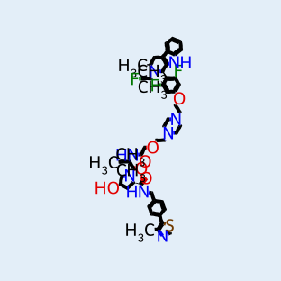 Cc1ncsc1-c1ccc(CNC(=O)[C@@H]2C[C@@H](O)CN2C(=O)[C@@H](NC(=O)COCCN2CCN(CCOc3cc(F)c([C@@H]4c5[nH]c6ccccc6c5C[C@@H](C)N4CC(C)(C)F)c(F)c3)CC2)C(C)(C)C)cc1